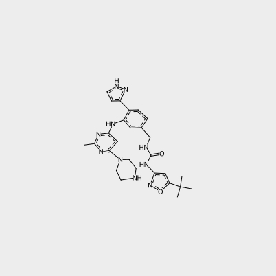 Cc1nc(Nc2cc(CNC(=O)Nc3cc(C(C)(C)C)on3)ccc2-c2cc[nH]n2)cc(N2CCNCC2)n1